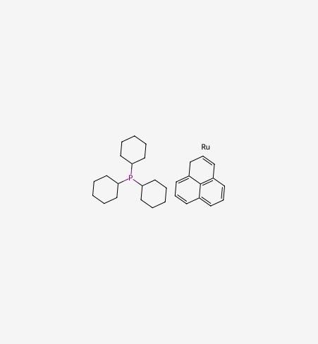 C1=Cc2cccc3cccc(c23)C1.C1CCC(P(C2CCCCC2)C2CCCCC2)CC1.[Ru]